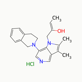 CC=C(O)Cn1c(C)c(C)c2cncc(N3CCc4ccccc4C3)c21.Cl